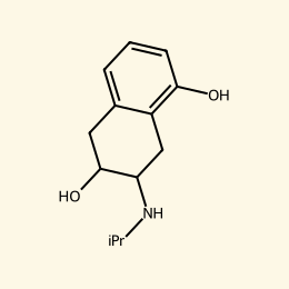 CC(C)NC1Cc2c(O)cccc2CC1O